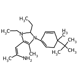 CCC1N(CC)C(/C=C(/C)N)=C(C)N1C1=CCC(C)(C(C)(C)C)C=C1